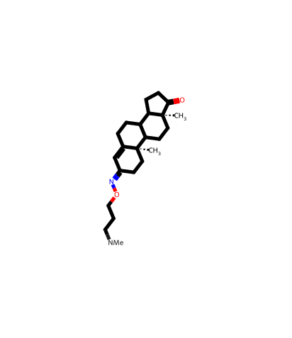 CNCCCO/N=C1/C=C2CCC3C(CC[C@]4(C)C(=O)CCC34)[C@@]2(C)CC1